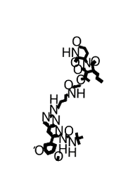 C=C/C=C1/C(=O)N(C2CCC(=O)NC2=O)C(=O)/C1=C(/C)OCC(=O)NCCCCNc1ncc2cc(-c3cc(OC)cc(OC)c3)c(NC(=O)NC(C)(C)C)nc2n1